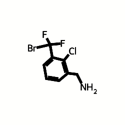 NCc1cccc(C(F)(F)Br)c1Cl